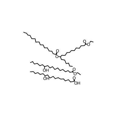 CCCCCCC(O)CCCCCCCCCCC(=O)O.CCCCCCC(O)CCCCCCCCCCC(=O)OCC.CCCCCCCCCCCCCCCC(=O)OC(CCCCCC)CCCCCCCCCCC(=O)OCC